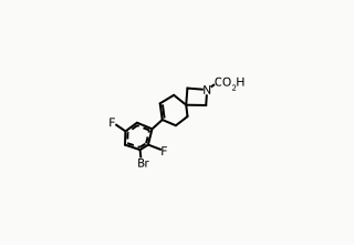 O=C(O)N1CC2(CC=C(c3cc(F)cc(Br)c3F)CC2)C1